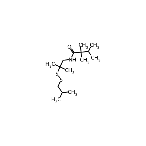 CC(C)CSSC(C)(C)CNC(=O)C(C)(C)C(C)C